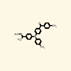 CC(=O)O/N=C(\C)c1ccc(N(c2ccc(C)cc2)c2ccc(C(=O)c3ccc(C)cc3)cc2)cc1